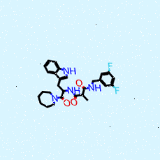 CC(C(=O)NCc1cc(F)cc(F)c1)C(=O)NC(Cc1c[nH]c2ccccc12)C(=O)N1CCCCCC1